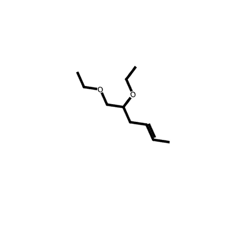 CC=CCC(COCC)OCC